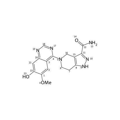 COc1cc2c(N3CCc4[nH]nc(C(N)=O)c4C3)ncnc2cc1O